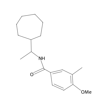 COc1ccc(C(=O)NC(C)C2CCCCCC2)cc1C